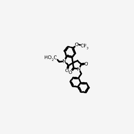 O=C(O)CN1C(=O)C2(CC(=O)N(Cc3cccc4ccccc34)C2=O)c2cc(OC(F)(F)F)ccc21